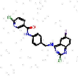 O=C(Nc1ccc(CNc2nc(Cl)nc3ccc(I)cc23)cc1)c1ccc(Cl)nc1